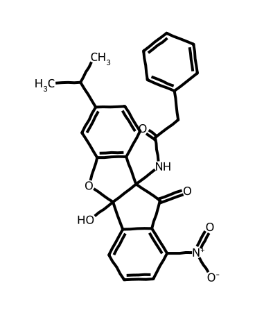 CC(C)c1ccc2c(c1)OC1(O)c3cccc([N+](=O)[O-])c3C(=O)C21NC(=O)Cc1ccccc1